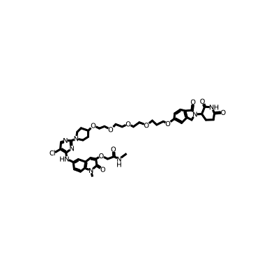 CNC(=O)COc1cc2cc(Nc3nc(N4CCC(OCCOCCOCCOCCCOc5ccc6c(c5)CN(C5CCC(=O)NC5=O)C6=O)CC4)ncc3Cl)ccc2n(C)c1=O